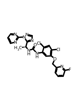 C[C@H](NC(=O)Nc1cc(OCc2cccc(F)n2)c(Cl)cc1Cl)c1ncnn1-c1ncccn1